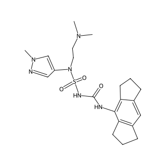 CN(C)CCN(c1cnn(C)c1)S(=O)(=O)NC(=O)Nc1c2c(cc3c1CCC3)CCC2